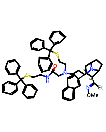 CCC(=NOC)[C@@H]1C2CCC(C[C@@H]1c1ccc3ccccc3c1)N2CCCN(CCSC(c1ccccc1)(c1ccccc1)c1ccccc1)CC(=O)NCCSC(c1ccccc1)(c1ccccc1)c1ccccc1